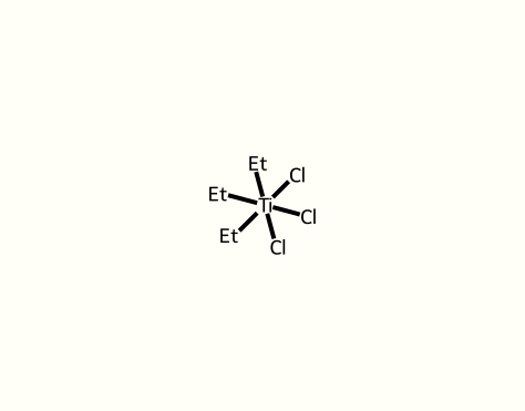 C[CH2][Ti]([Cl])([Cl])([Cl])([CH2]C)[CH2]C